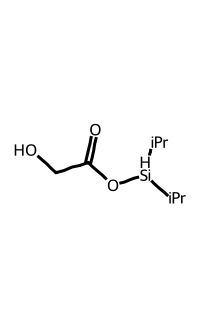 CC(C)[SiH](OC(=O)CO)C(C)C